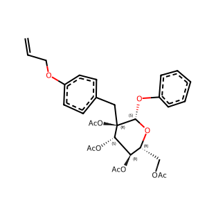 C=CCOc1ccc(C[C@]2(OC(C)=O)[C@H](Oc3ccccc3)O[C@H](COC(C)=O)[C@@H](OC(C)=O)[C@@H]2OC(C)=O)cc1